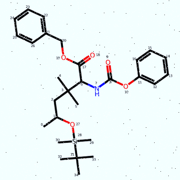 CC(CC(C)(C)C(NC(=O)Oc1ccccc1)C(=O)OCc1ccccc1)O[Si](C)(C)C(C)(C)C